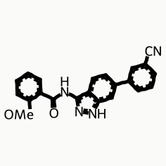 COc1ccccc1C(=O)Nc1n[nH]c2cc(-c3cccc(C#N)c3)ccc12